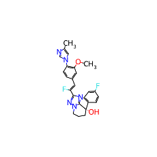 COc1cc(/C=C(\F)c2nc3n(n2)CCC[C@]3(O)c2ccc(F)cc2)ccc1-n1cnc(C)c1